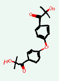 CC(C)(O)C(=O)c1ccc(Oc2ccc(C(=O)C(C)(C)O)cc2)cc1